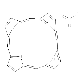 C1=Cc2cc3ccc(cc4nc(cc5ccc(cc1n2)[nH]5)C=C4)[nH]3.O=[SH](=O)Cl